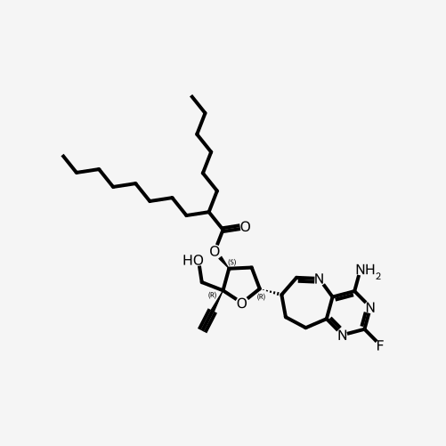 C#C[C@]1(CO)O[C@@H](C2C=Nc3c(N)nc(F)nc3CC2)C[C@@H]1OC(=O)C(CCCCCC)CCCCCCCC